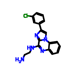 NCCNc1nc2ccccc2n2cc(-c3cccc(Cl)c3)nc12